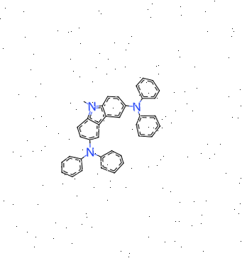 Cn1c2ccc(N(c3ccccc3)c3ccccc3)cc2c2cc(N(c3ccccc3)c3ccccc3)ccc21